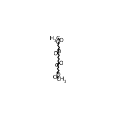 CC(=O)OCCCCOC(=O)CCCCC(=O)OCCCCOC(C)=O